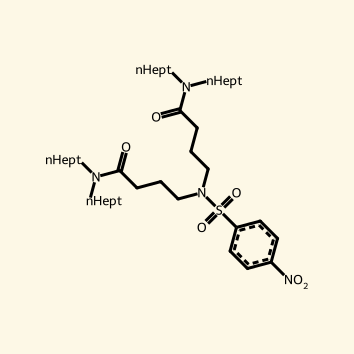 CCCCCCCN(CCCCCCC)C(=O)CCCN(CCCC(=O)N(CCCCCCC)CCCCCCC)S(=O)(=O)c1ccc([N+](=O)[O-])cc1